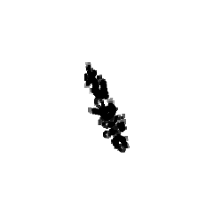 Cc1c(Oc2ccnc(-c3cnn(C)c3)c2)ccc(NC(=O)N2CCN(C3CCOCC3)C2=O)c1F